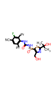 CC(C)c1cc(C#N)c(F)c(C(C)C)c1NC(=O)N[S@@+]([O-])c1sc(C(C)(C)O)nc1CO